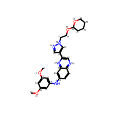 COc1cc(Nc2ccc3ncc(-c4cnn(CCOC5CCCCO5)c4)nc3c2)cc(OC)c1